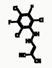 N#CC(C#N)=CNNc1c(Cl)c(F)c(Cl)c(F)c1Cl